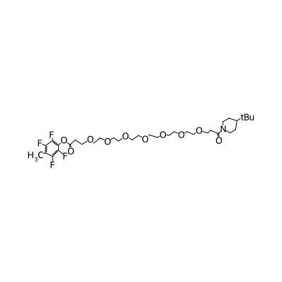 Cc1c(F)c(F)c(OC(=O)CCOCCOCCOCCOCCOCCOCCOCCC(=O)N2CCC(C(C)(C)C)CC2)c(F)c1F